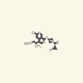 COC[C@H](C)c1cnc(OC2CN(C(=O)[C@H]3C[C@H]3F)C2)c2cnc(Cl)cc12